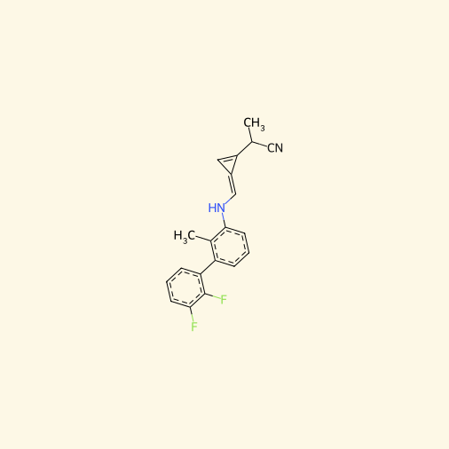 Cc1c(N/C=C2C=C\2C(C)C#N)cccc1-c1cccc(F)c1F